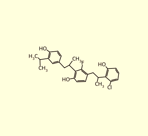 CC(C)c1cc(CC(C)c2c(O)ccc(CC(C)c3c(O)cccc3Cl)c2F)ccc1O